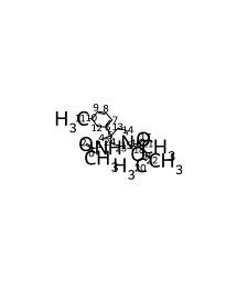 CC(=O)NCC1(C2=CC=CC(C)C2)CCN(C(=O)OC(C)(C)C)CC1